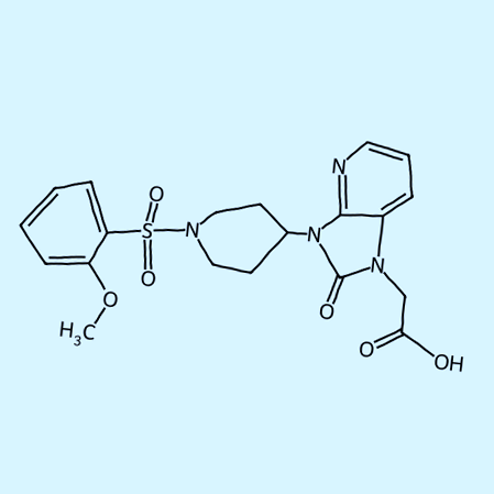 COc1ccccc1S(=O)(=O)N1CCC(n2c(=O)n(CC(=O)O)c3cccnc32)CC1